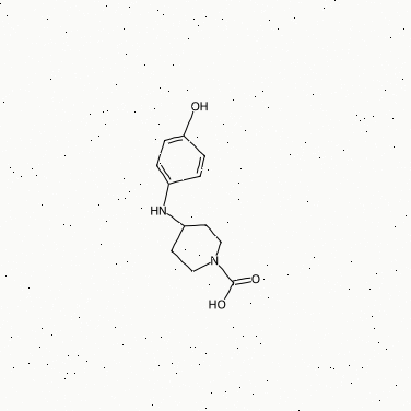 O=C(O)N1CCC(Nc2ccc(O)cc2)CC1